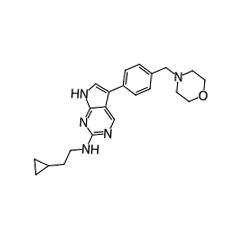 c1cc(-c2c[nH]c3nc(NCCC4CC4)ncc23)ccc1CN1CCOCC1